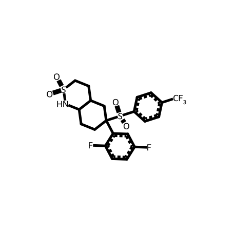 O=S1(=O)CCC2CC(c3cc(F)ccc3F)(S(=O)(=O)c3ccc(C(F)(F)F)cc3)CCC2N1